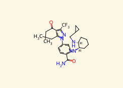 CC1(C)CC(=O)c2c(C(F)(F)F)nn(-c3ccc(C(N)=O)c(N[C@@H]4CCCC[C@H]4NCC4CC4)c3)c2C1